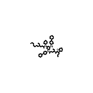 C=C\C=c1/c(=C(C)/C(C=C)=C/C=C(\C)N(c2ccc(-c3ccccc3)cc2)c2cc(N(C)c3ccc(-c4ccccc4)cc3)cc(N(/C(C)=C/C=C(C=C)/C=C/C=C\C=C/C)c3ccccc3)c2)sc2ccccc12